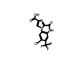 O=C(O)c1cn2c(n1)c(=O)[nH]c1cc(C(F)(F)F)c(Cl)cc12